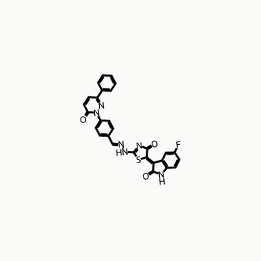 O=C1N=C(NN=Cc2ccc(-n3nc(-c4ccccc4)ccc3=O)cc2)SC1=C1C(=O)Nc2ccc(F)cc21